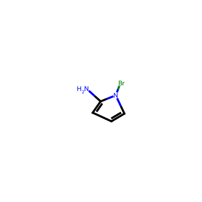 Nc1cccn1Br